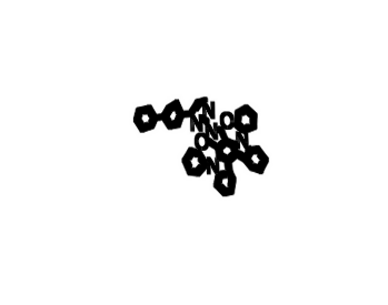 O=C1c2c(c3c(c4ccccc4n3-c3ccccc3)c3c4ccccc4n(-c4ccccc4)c23)C(=O)N1c1nccc(-c2ccc(-c3ccccc3)cc2)n1